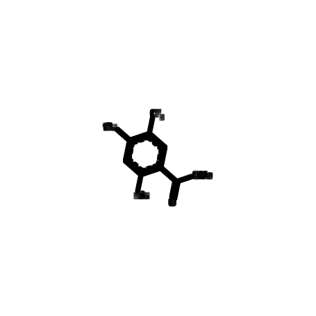 CCCCc1cc(C(C)(C)C)c(C(F)(F)F)cc1C(=O)OC